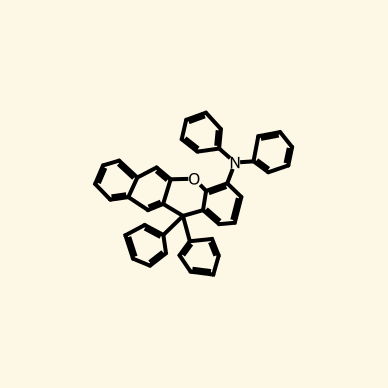 c1ccc(N(c2ccccc2)c2cccc3c2Oc2cc4ccccc4cc2C3(c2ccccc2)c2ccccc2)cc1